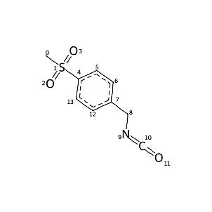 CS(=O)(=O)c1ccc(CN=C=O)cc1